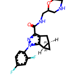 O=C(NCC1CNCCO1)c1nn(-c2ccc(F)cc2F)c2c1C[C@H]1C[C@@H]21